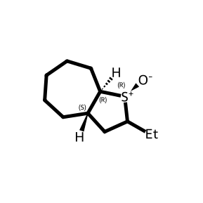 CCC1C[C@@H]2CCCCC[C@H]2[S@@+]1[O-]